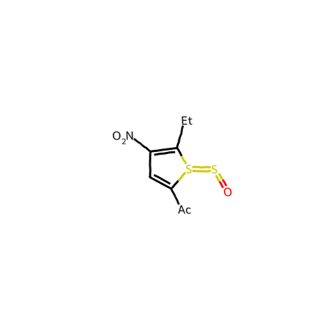 CCC1=C([N+](=O)[O-])C=C(C(C)=O)S1=S=O